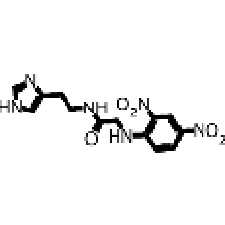 O=C(CNc1ccc([N+](=O)[O-])cc1[N+](=O)[O-])NCCc1c[nH]cn1